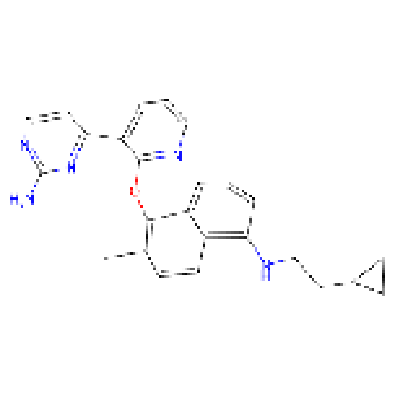 Cc1ccc2c(NCCC3CC3)cccc2c1Oc1ncccc1-c1ccnc(N)n1